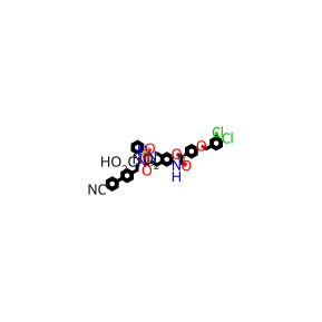 N#Cc1ccc(-c2ccc(CC(NC(=O)[C@@H]3Cc4cc5c(cc4CN3S(=O)(=O)c3ccccc3[N+](=O)[O-])O[C@@H](c3ccc(OCc4ccc(Cl)c(Cl)c4)cc3)C(=O)N5)C(=O)O)cc2)cc1